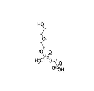 C=C(OCCOCCO)C(=O)OCS(=O)(=O)O